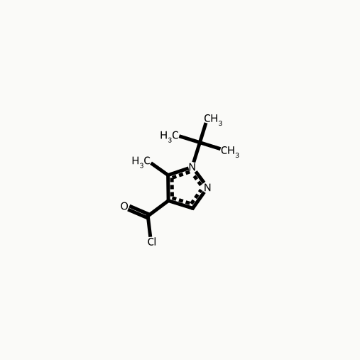 Cc1c(C(=O)Cl)cnn1C(C)(C)C